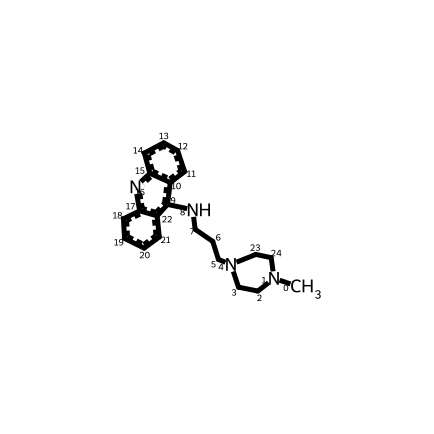 CN1CCN(CCCNc2c3ccccc3nc3ccccc23)CC1